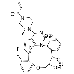 C=CC(=O)N1CCN(c2nc(=O)n3c4nc(c(F)cc24)-c2c(F)cccc2OCC(O)C(OCC)c2ccnc(C(C)C)c2-3)[C@@H](C)C1